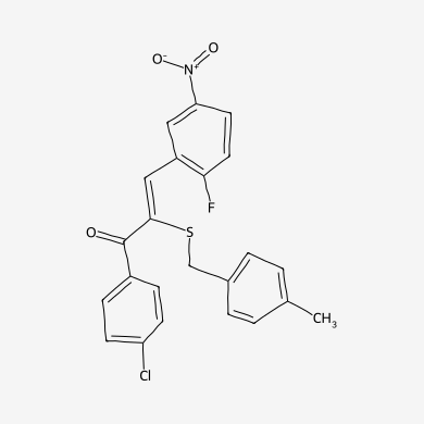 Cc1ccc(CSC(=Cc2cc([N+](=O)[O-])ccc2F)C(=O)c2ccc(Cl)cc2)cc1